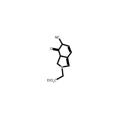 CCOC(=O)CN1C=C2C=CC(C#N)C(=O)C2C1